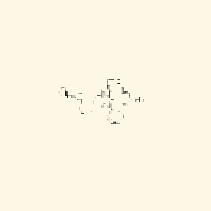 CC1(C)CC(C=O)C2CN(C(F)(F)F)C(c3ccc(Br)cc3)N(c3ccccc3)C2C1